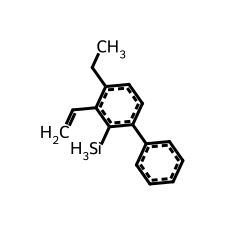 C=Cc1c(CC)ccc(-c2ccccc2)c1[SiH3]